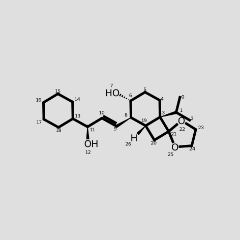 CC(C)[C@]12CC[C@@H](O)[C@H](/C=C/[C@@H](O)C3CCCCC3)[C@H]1CC21OCCO1